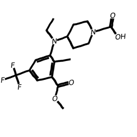 CCN(c1cc(C(F)(F)F)cc(C(=O)OC)c1C)C1CCN(C(=O)O)CC1